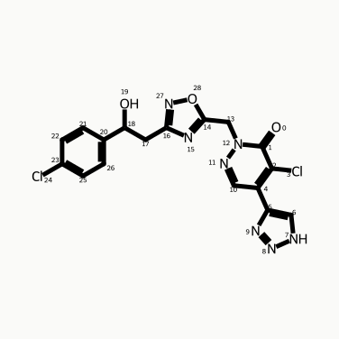 O=c1c(Cl)c(-c2c[nH]nn2)cnn1Cc1nc(CC(O)c2ccc(Cl)cc2)no1